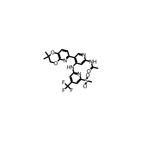 CC(=O)Nc1cc(Nc2cc(C(F)(F)F)cc(S(C)(=O)=O)n2)c(-c2ccc3c(n2)OCC(C)(C)O3)cn1